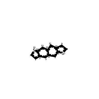 c1cc2cc3cc4sccc4cc3cc2s1